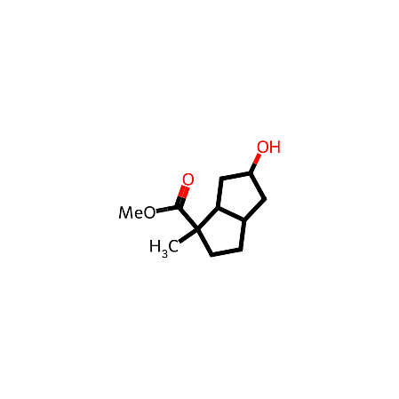 COC(=O)C1(C)CCC2CC(O)CC21